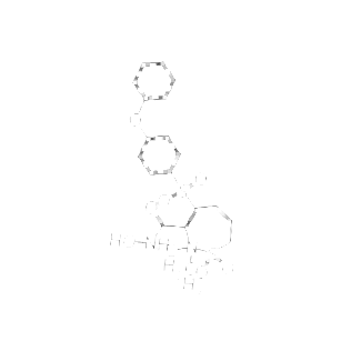 C[N+]1(C)C(C(=O)NO)=C(S(=O)(=O)c2ccc(Oc3ccccc3)cc2)C=CCS1(=O)=O